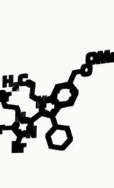 C=CCn1c(-c2nc(Br)c(Br)n2CCBr)c(C2CCCCC2)c2ccc(COOC)cc21